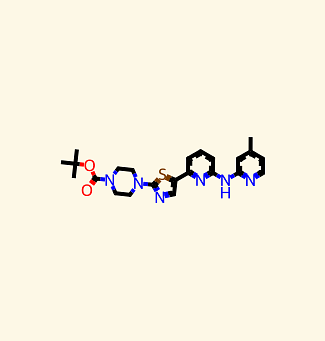 Cc1ccnc(Nc2cccc(-c3cnc(N4CCN(C(=O)OC(C)(C)C)CC4)s3)n2)c1